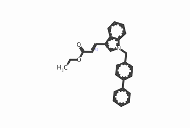 CCOC(=O)/C=C/c1cn(Cc2ccc(-c3ccccc3)cc2)c2ccccc12